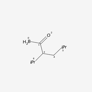 BC(=O)C(CC(C)C)C(C)C